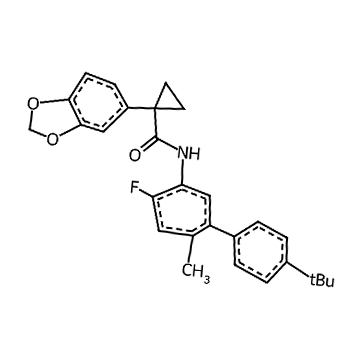 Cc1cc(F)c(NC(=O)C2(c3ccc4c(c3)OCO4)CC2)cc1-c1ccc(C(C)(C)C)cc1